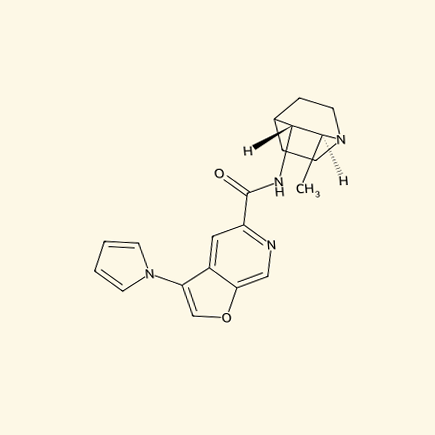 C[C@H]1[C@H](NC(=O)c2cc3c(-n4cccc4)coc3cn2)C2CCN1CC2